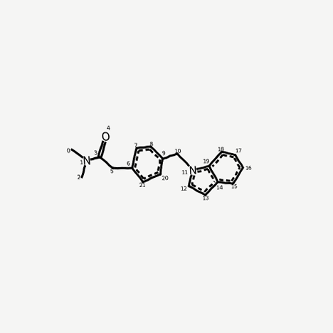 CN(C)C(=O)Cc1ccc(Cn2ccc3ccccc32)cc1